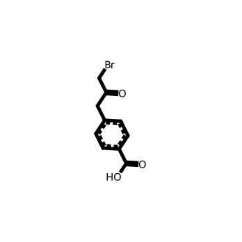 O=C(CBr)Cc1ccc(C(=O)O)cc1